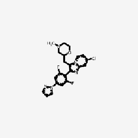 CN1CCOC(Cc2c(-c3c(F)cc(-n4cccn4)cc3F)nc3cc(Cl)ccn23)C1